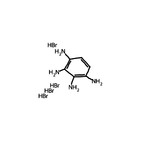 Br.Br.Br.Br.Nc1ccc(N)c(N)c1N